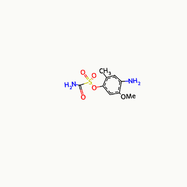 COc1cc(OS(=O)(=O)C(N)=O)c(C)cc1N